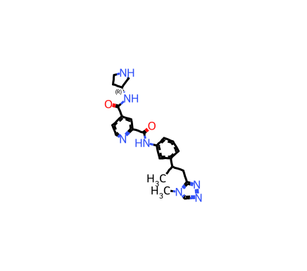 CC(Cc1nncn1C)c1cccc(NC(=O)c2cc(C(=O)N[C@@H]3CCNC3)ccn2)c1